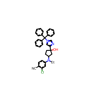 CCN(c1ccc(C#N)c(Cl)c1)C1CCC(O)(c2cn(C(c3ccccc3)(c3ccccc3)c3ccccc3)cn2)C1